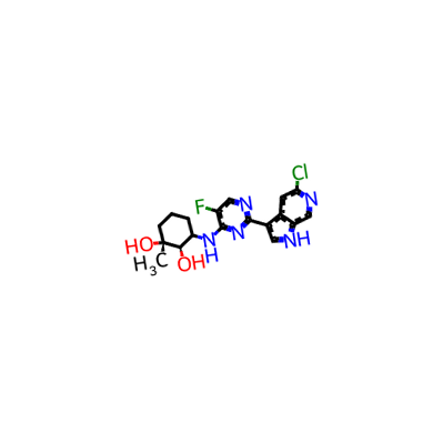 C[C@@]1(O)CCCC(Nc2nc(-c3c[nH]c4cnc(Cl)cc34)ncc2F)[C@H]1O